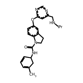 CC1=CC=CC(NC(=O)N2CCc3cc(Oc4cc(CNC(C)C)ncn4)ccc32)C1